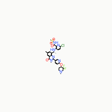 Cc1cc([C@@H](C)Nc2ccc(Cl)nc2C(=O)NS(C)(=O)=O)c2nc(-c3ccc(O[C@H]4CCN(C)CC4(F)F)nc3)n(C)c(=O)c2c1